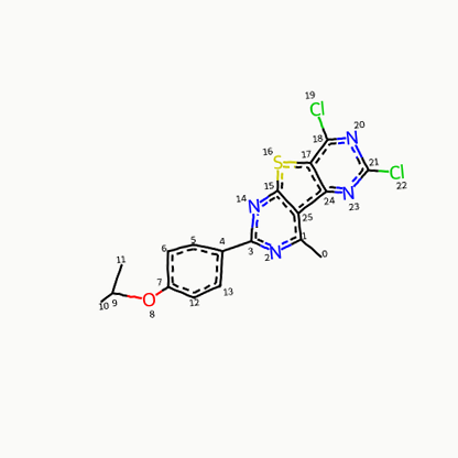 Cc1nc(-c2ccc(OC(C)C)cc2)nc2sc3c(Cl)nc(Cl)nc3c12